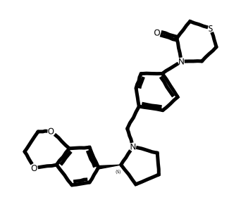 O=C1CSCCN1c1ccc(CN2CCC[C@H]2c2ccc3c(c2)OCCO3)cc1